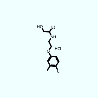 CCC(CO)NCCOc1ccc(Cl)c(C)c1.Cl